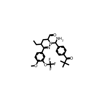 CCC1CC(C=O)N(C(N)c2ccc(C(=O)C(C)(C)C)cc2)N=C1c1ccc(OC)c(OC(F)(F)F)c1